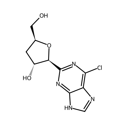 OC[C@@H]1C[C@@H](O)[C@H](c2nc(Cl)c3nc[nH]c3n2)O1